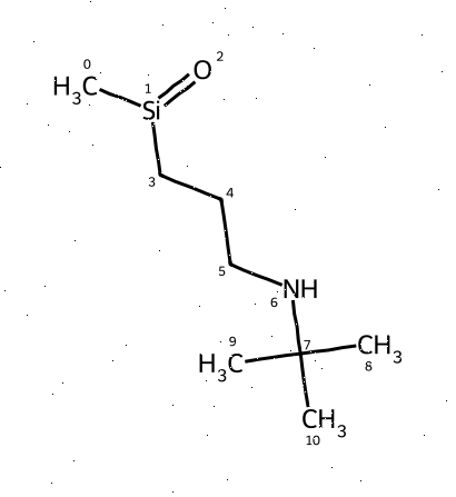 C[Si](=O)CCCNC(C)(C)C